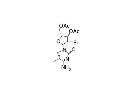 CC(=O)OC[C@H]1O[C@@H](n2cc(C)c(N)nc2=O)[C@@H](Br)[C@@H]1OC(C)=O